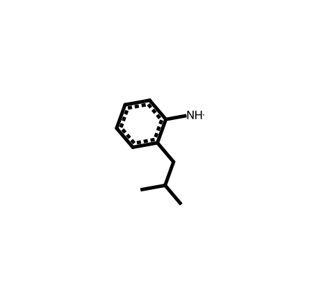 CC(C)Cc1ccccc1[NH]